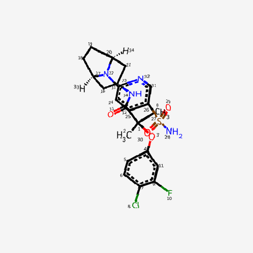 CC(C)(Oc1ccc(Cl)c(F)c1)C(=O)N[C@H]1C[C@H]2CC[C@@H](C1)N2c1ccc(S(N)(=O)=O)cn1